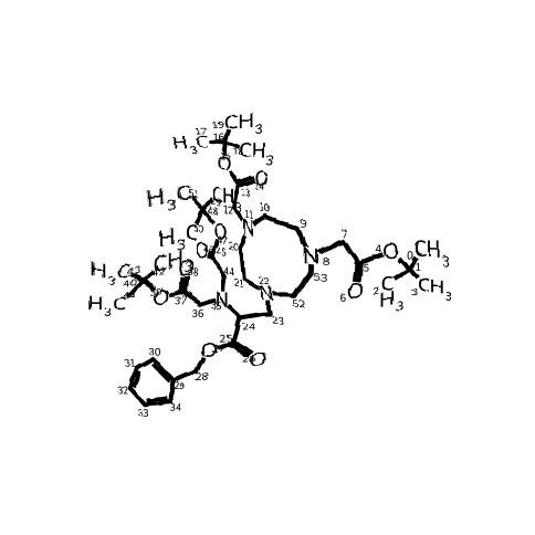 CC(C)(C)OC(=O)CN1CCN(CC(=O)OC(C)(C)C)CCN(CC(C(=O)OCc2ccccc2)N(CC(=O)OC(C)(C)C)CC(=O)OC(C)(C)C)CC1